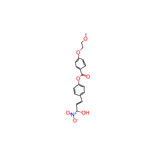 COCCOc1ccc(C(=O)Oc2ccc(/C=C/C(O)[N+](=O)[O-])cc2)cc1